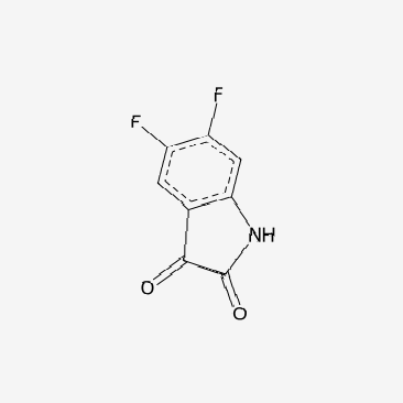 O=C1Nc2cc(F)c(F)cc2C1=O